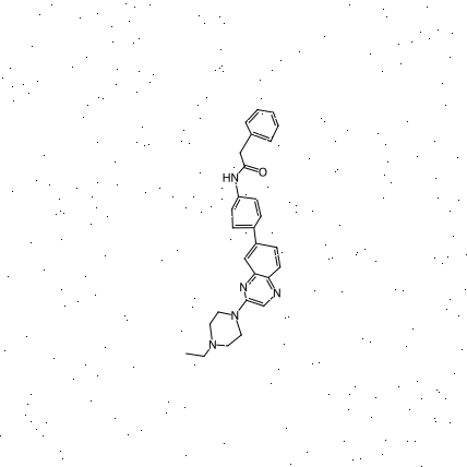 CCN1CCN(c2cnc3ccc(-c4ccc(NC(=O)Cc5ccccc5)cc4)cc3n2)CC1